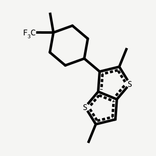 Cc1cc2sc(C)c(C3CCC(C)(C(F)(F)F)CC3)c2s1